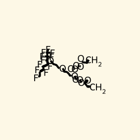 C=CC(=O)OOOOCC(COCCCOC(F)(/C(F)=C(F)/C(F)=C(\F)CF)C(F)(F)C(F)(F)F)OOOOC(=O)C=C